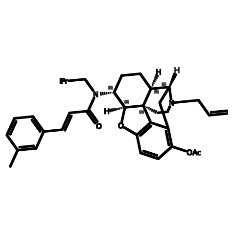 C=CCN1CC[C@@]23c4c5ccc(OC(C)=O)c4C[C@@H]1[C@@H]2CC[C@@H](N(CC(C)C)C(=O)C=Cc1cccc(C)c1)[C@@H]3O5